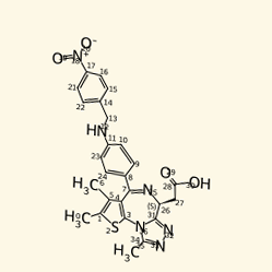 Cc1sc2c(c1C)C(c1ccc(NCc3ccc([N+](=O)[O-])cc3)cc1)=N[C@@H](CC(=O)O)c1nnc(C)n1-2